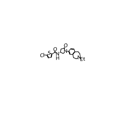 CCN1CCc2ccc(N3C[C@H](NC(=O)c4ccc(Cl)s4)CC3=O)cc2CC1